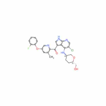 Cc1cc(Oc2ccccc2F)cnc1C(=O)c1c[nH]c2ncc(Cl)c(N[C@@H]3CC[C@@H](CO)OC3)c12